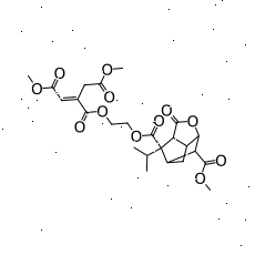 COC(=O)/C=C(\CC(=O)OC)C(=O)OCCOC(=O)C1(C(C)C)C2CC3C(OC(=O)C31)C2C(=O)OC